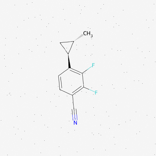 C[C@H]1C[C@@H]1c1ccc(C#N)c(F)c1F